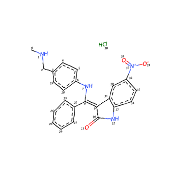 CNCc1ccc(NC(=C2C(=O)Nc3ccc([N+](=O)[O-])cc32)c2ccccc2)cc1.Cl